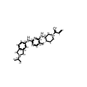 C=CC(=O)N1CCC[C@@H](Nc2nc(Nc3ccc4c(c3)CN(C(C)C)C4)ncc2F)C1